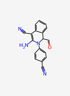 N#CC1=C(N)N(c2ccc(C#N)cc2)C(C=O)c2ccccc21